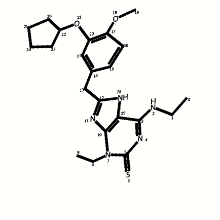 CCNc1nc(=S)n(CC)c2nc(Cc3ccc(OC)c(OC4CCCC4)c3)[nH]c12